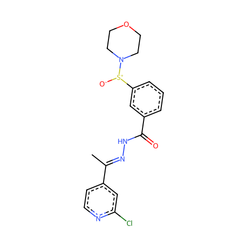 C/C(=N\NC(=O)c1cccc([S+]([O-])N2CCOCC2)c1)c1ccnc(Cl)c1